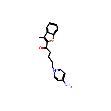 Cc1c(C(=O)CCCC[n+]2ccc(N)cc2)sc2ccccc12